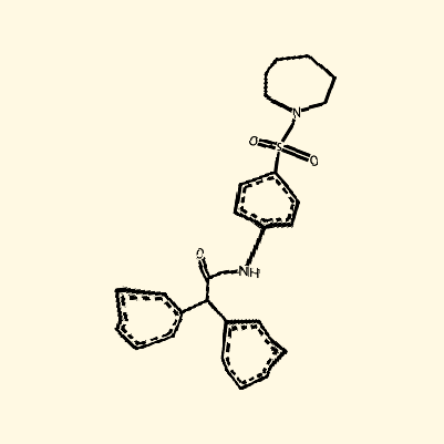 O=C(Nc1ccc(S(=O)(=O)N2CCCCC2)cc1)C(c1ccccc1)c1ccccc1